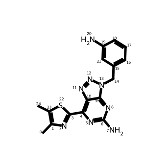 Cc1nc(-c2nc(N)nc3c2nnn3Cc2cccc(N)c2)sc1C